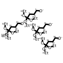 CCOC(CCC[O-])(OCC)OCC.CCOC(CCC[O-])(OCC)OCC.CCOC(CCC[O-])(OCC)OCC.CCOC(CCC[O-])(OCC)OCC.[Hf+4]